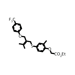 CCOC(=O)COc1ccc(SCC(COc2ccc(C(F)(F)F)cc2)=C(C)C)cc1C